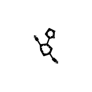 N#Cc1ccc(C#N)c(-c2cc[c]s2)c1